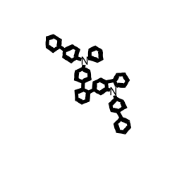 c1ccc(-c2ccc(N(c3ccccc3)c3ccc(-c4ccccc4-c4ccc5c6ccccc6n(-c6ccc(-c7ccccc7)cc6)c5c4)cc3)cc2)cc1